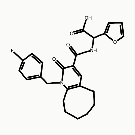 O=C(NC(C(=O)O)c1ccco1)c1cc2c(n(Cc3ccc(F)cc3)c1=O)CCCCCC2